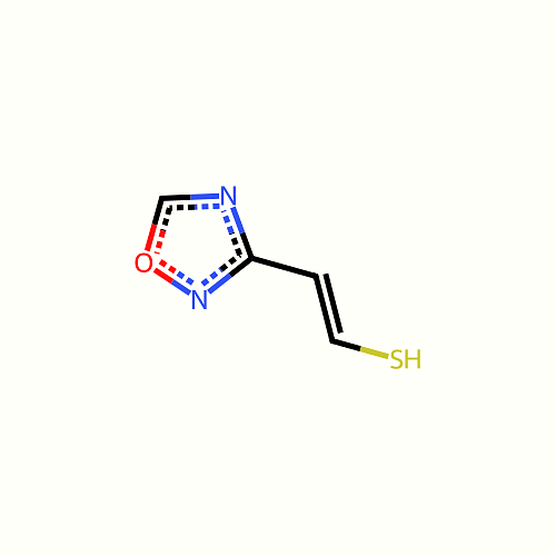 SC=Cc1ncon1